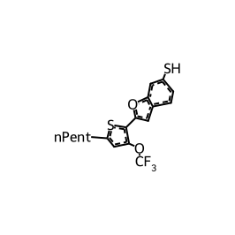 CCCCCc1cc(OC(F)(F)F)c(-c2cc3ccc(S)cc3o2)s1